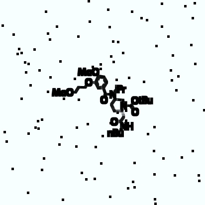 CCCCNC(=O)C[C@@H]1CC[C@@H](N(C(=O)c2ccc(OC)c(OCCCOC)c2)C(C)C)CN1C(=O)OC(C)(C)C